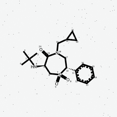 CC(C)(C)N[C@@H]1CS(=O)(=O)[C@@H](c2ccccc2)CN(CC2CC2)C1=O